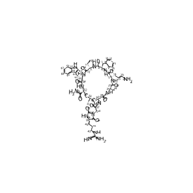 CC[C@@H]1NC(=O)[C@@H](Cc2ccccc2)NC(=O)[C@H](C/C=C/N)NC(=O)[C@@H](C)NC(=O)[C@@H](NC(=O)CN2C(=O)N[C@H](CCCNC(=N)N)C2=O)CC(C)C[C@@H](C(N)=O)NC(=O)[C@H](Cc2c[nH]c3ccccc23)NC1=O